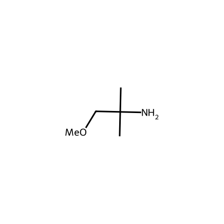 [CH2]OCC(C)(C)N